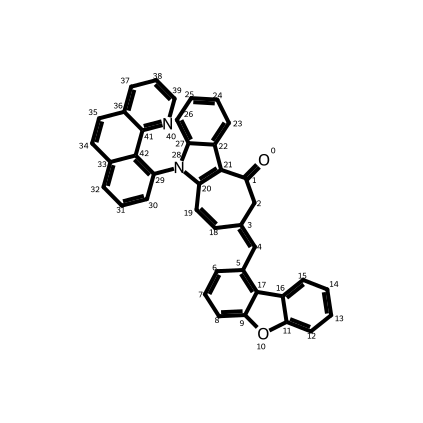 O=C1C/C(=C/c2cccc3oc4ccccc4c23)C=Cc2c1c1ccccc1n2-c1cccc2ccc3cccnc3c12